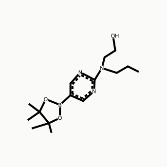 CCCN(CCO)c1ncc(B2OC(C)(C)C(C)(C)O2)cn1